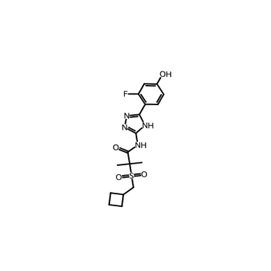 CC(C)(C(=O)Nc1nnc(-c2ccc(O)cc2F)[nH]1)S(=O)(=O)CC1CCC1